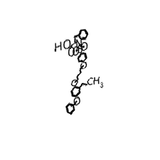 CCCc1cc(Oc2ccccc2)ccc1OCCCCOc1ccc(S(=O)(=O)N2c3ccccc3C[C@@H]2C(=O)O)cc1